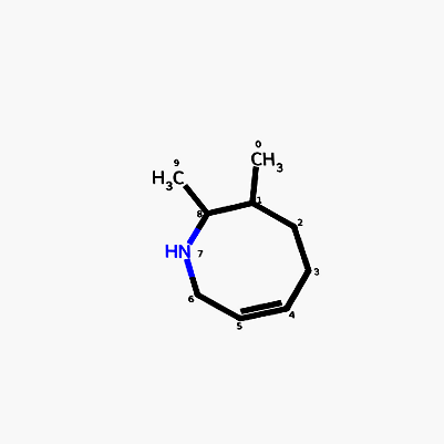 CC1CC/C=C\CNC1C